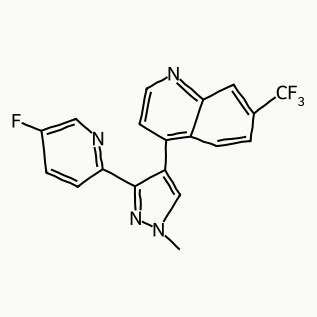 Cn1cc(-c2ccnc3cc(C(F)(F)F)ccc23)c(-c2ccc(F)cn2)n1